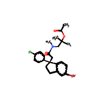 CC(=O)OC(C)(C)CN(C)C(=O)C[C@]1(c2ccc(Cl)cc2)CCc2cc(Br)ccc21